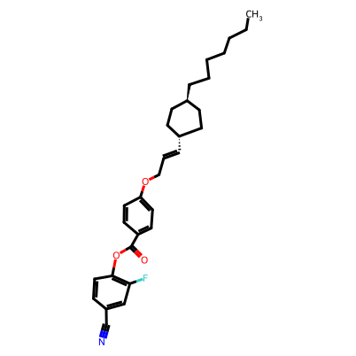 CCCCCCC[C@H]1CC[C@H](/C=C/COc2ccc(C(=O)Oc3ccc(C#N)cc3F)cc2)CC1